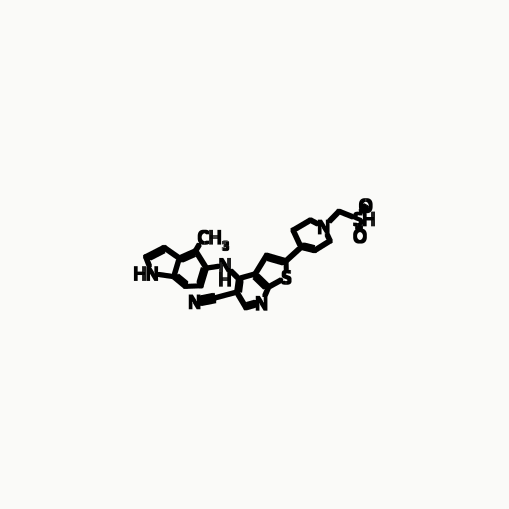 Cc1c(Nc2c(C#N)cnc3sc(C4=CCN(C[SH](=O)=O)CC4)cc23)ccc2[nH]ccc12